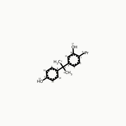 CC(C)c1ccc(C(C)(C)c2ccc(O)cc2)cc1O